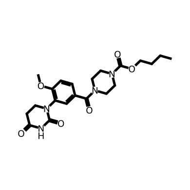 CCCCOC(=O)N1CCN(C(=O)c2ccc(OC)c(N3CCC(=O)NC3=O)c2)CC1